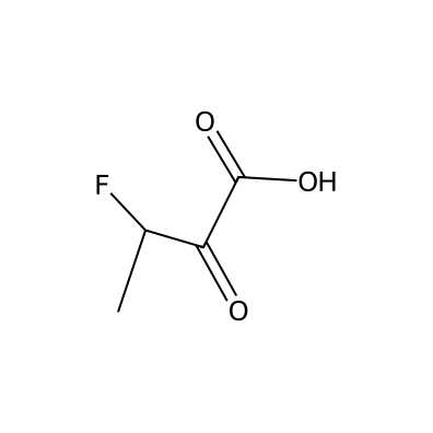 CC(F)C(=O)C(=O)O